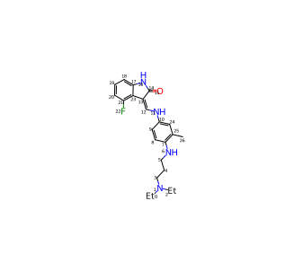 CCN(CC)CCCNc1ccc(NC=C2C(=O)Nc3cccc(F)c32)cc1C